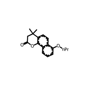 CCCOc1cccc2c3c(ccc12)C(C)(C)CC(=O)O3